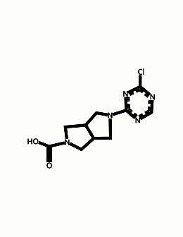 O=C(O)N1CC2CN(c3ncnc(Cl)n3)CC2C1